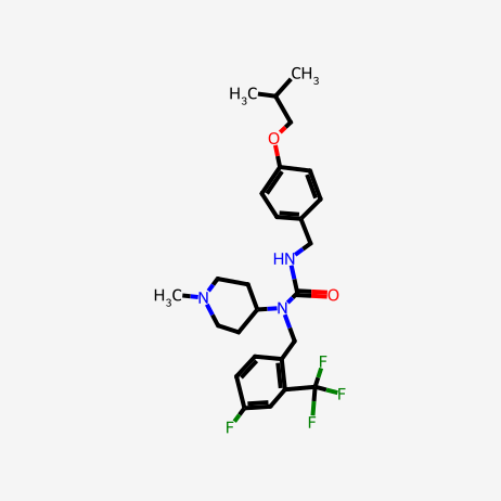 CC(C)COc1ccc(CNC(=O)N(Cc2ccc(F)cc2C(F)(F)F)C2CCN(C)CC2)cc1